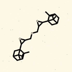 CC1=CCC2CC1(C1OC1COCC1OC1C13CC(CC=C1C)C3(C)C)C2(C)C